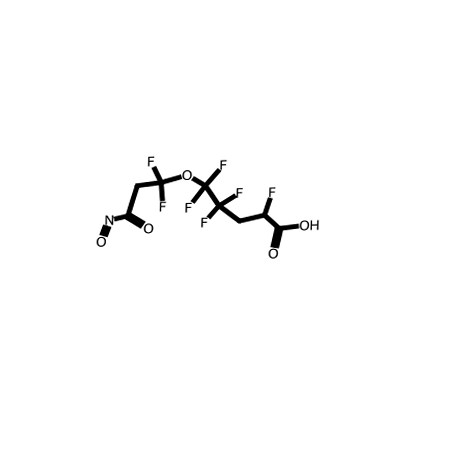 O=NC(=O)CC(F)(F)OC(F)(F)C(F)(F)CC(F)C(=O)O